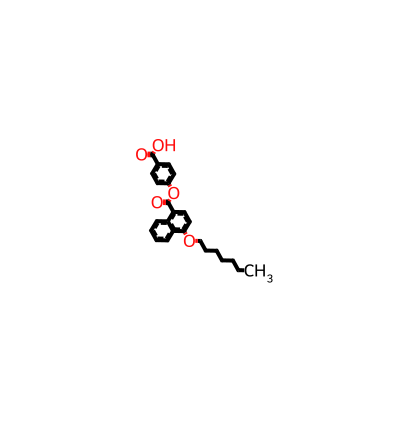 CCCCCCCOc1ccc(C(=O)Oc2ccc(C(=O)O)cc2)c2ccccc12